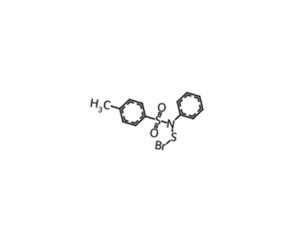 Cc1ccc(S(=O)(=O)N(SBr)c2ccccc2)cc1